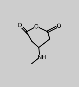 CNC1CC(=O)OC(=O)C1